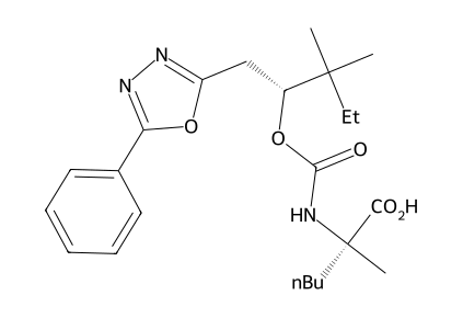 CCCC[C@](C)(NC(=O)O[C@H](Cc1nnc(-c2ccccc2)o1)C(C)(C)CC)C(=O)O